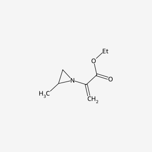 C=C(C(=O)OCC)N1CC1C